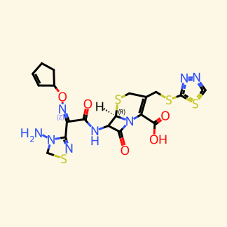 NN1CSN=C1/C(=N/OC1C=CCC1)C(=O)NC1C(=O)N2C(C(=O)O)=C(CSc3nncs3)CS[C@H]12